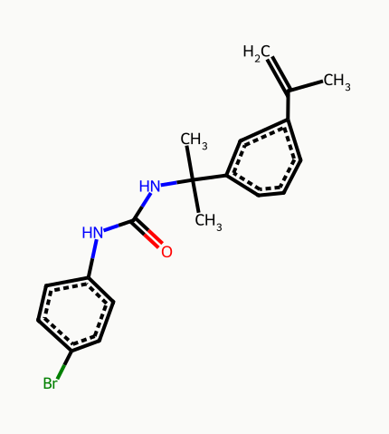 C=C(C)c1cccc(C(C)(C)NC(=O)Nc2ccc(Br)cc2)c1